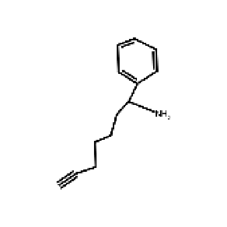 C#CCCCCC(N)c1ccccc1